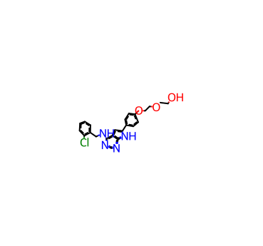 OCCOCCOc1ccc(-c2cc3c(NCc4ccccc4Cl)ncnc3[nH]2)cc1